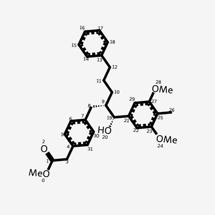 COC(=O)Cc1ccc(C[C@H](CCCc2ccccc2)[C@@H](O)c2cc(OC)c(C)c(OC)c2)cc1